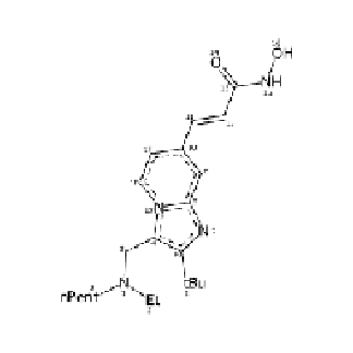 CCCCCN(CC)Cc1c(C(C)(C)C)nc2cc(C=CC(=O)NO)ccn12